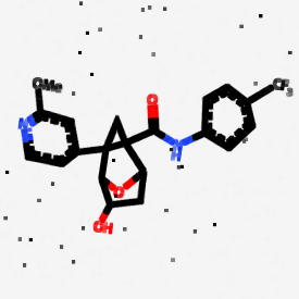 COc1cc(C23CC2(C(=O)Nc2ccc(C(F)(F)F)cc2)C2CC(O)C3O2)ccn1